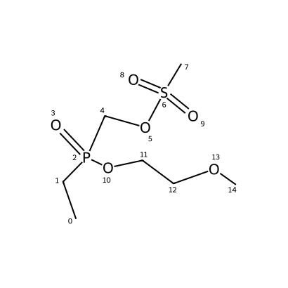 CCP(=O)(COS(C)(=O)=O)OCCOC